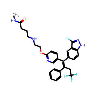 CNC(=O)CCCNCCOc1ccc(/C(=C(/CC(F)(F)F)c2ccccc2)c2ccc3[nH]nc(F)c3c2)cn1